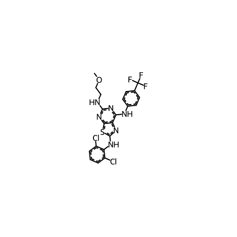 COCCNc1nc(Nc2ccc(C(F)(F)F)cc2)c2nc(Nc3c(Cl)cccc3Cl)sc2n1